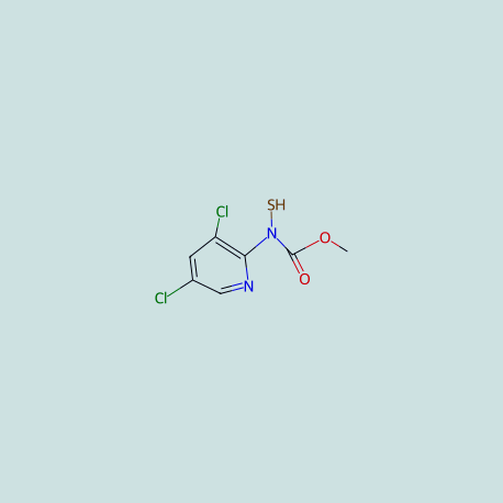 COC(=O)N(S)c1ncc(Cl)cc1Cl